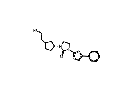 N#CCCC1CC[C@@H](N2CCN(c3nc(-c4ccccc4)cs3)C2=O)C1